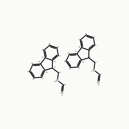 O=COCC1c2ccccc2-c2ccccc21.O=[C]OCC1c2ccccc2-c2ccccc21